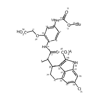 CC(C(=O)Nc1ccc(NC(=O)OC(C)(C)C)cc1OCC(=O)O)C1CCc2cc(Cl)cc3[nH]c(C(=O)O)c1c23